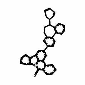 O=c1c2ccccc2c2cc(-c3ccc4c(c3)CCC(C3C=CC=CC3)c3ccccc3-4)cc3c4ccccc4n1c23